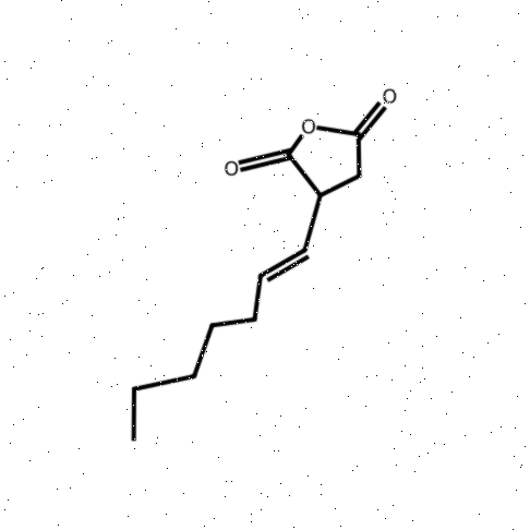 CCCCCC=CC1CC(=O)OC1=O